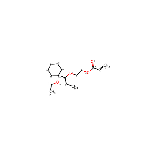 C=CC(=O)OCCOC(CC)C1(OCC)CCCCC1